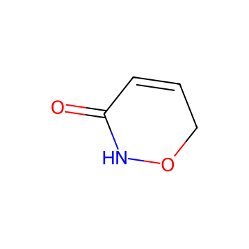 O=C1C=CCON1